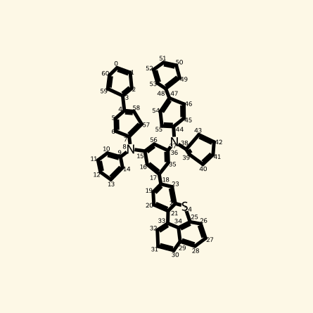 c1ccc(-c2ccc(N(c3ccccc3)c3cc(-c4ccc5c(c4)Sc4cccc6cccc-5c46)cc(N(c4ccccc4)c4ccc(-c5ccccc5)cc4)c3)cc2)cc1